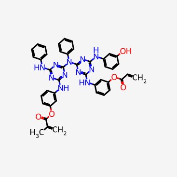 C=CC(=O)Oc1cccc(Nc2nc(Nc3cccc(O)c3)nc(N(c3ccccc3)c3nc(Nc4ccccc4)nc(Nc4cccc(OC(=O)C(=C)C)c4)n3)n2)c1